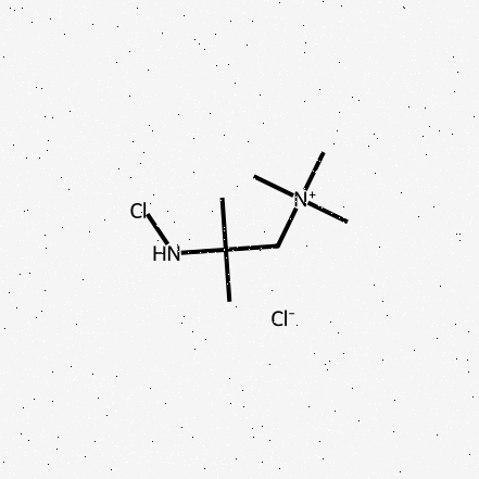 CC(C)(C[N+](C)(C)C)NCl.[Cl-]